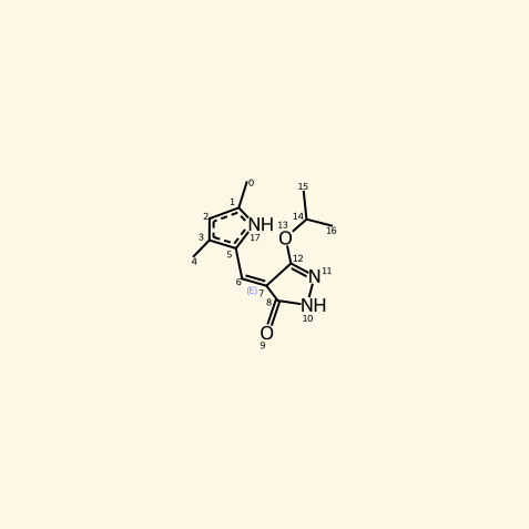 Cc1cc(C)c(/C=C2/C(=O)NN=C2OC(C)C)[nH]1